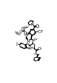 CC(C)(C)OC(=O)NC[C@@H]1CCCN1C(=O)c1cc2ncnc(N[C@@H](CCC(=O)OCc3ccccc3)c3nc4cc(Cl)ccc4[nH]3)c2cc1Cl